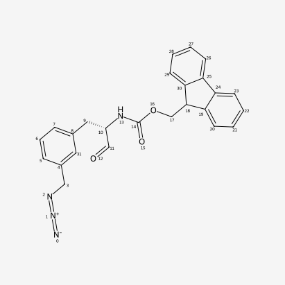 [N-]=[N+]=NCc1cccc(C[C@@H](C=O)NC(=O)OCC2c3ccccc3-c3ccccc32)c1